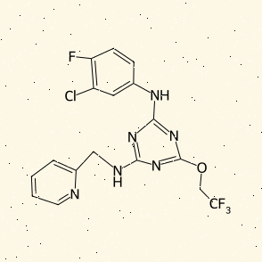 Fc1ccc(Nc2nc(NCc3ccccn3)nc(OCC(F)(F)F)n2)cc1Cl